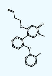 C=CCCOc1cc(=O)n(C)cc1-c1ccccc1Oc1ccccc1C